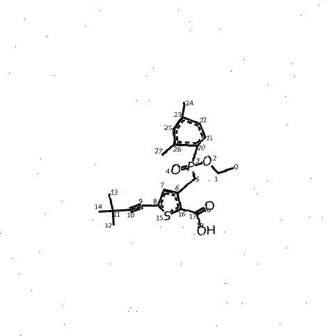 CCOP(=O)(Cc1cc(C#CC(C)(C)C)sc1C(=O)O)c1ccc(C)cc1C